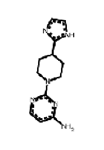 Nc1ccnc(N2CCC(c3ncc[nH]3)CC2)n1